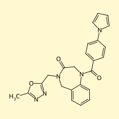 Cc1nnc(CN2Cc3ccccc3N(C(=O)c3ccc(-n4cccc4)cc3)CC2=O)o1